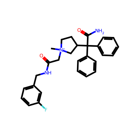 C[N+]1(CC(=O)NCc2cccc(F)c2)CCC(C(C(N)=O)(c2ccccc2)c2ccccc2)C1